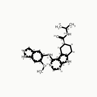 COc1cc2[nH]ncc2cc1Nc1ncnc2[nH]c3c(c12)C[C@@H](C(=O)NC(C)C)CC3